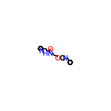 O=C(C=Cc1ccccn1)NCCCOC1CCN(Cc2ccccc2)CC1